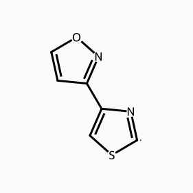 [c]1nc(-c2ccon2)cs1